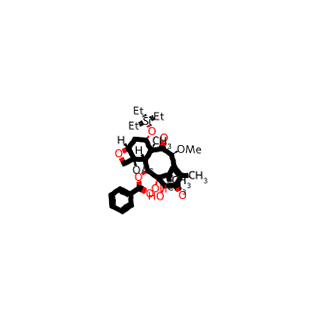 CC[Si](CC)(CC)O[C@H]1C[C@H]2OC[C@@]2(OC(C)=O)[C@H]2[C@H](OC(=O)c3ccccc3)[C@]3(O)[C@@H](O)C(=O)C(C)=C([C@@H](OC)C(=O)[C@]12C)C3(C)C